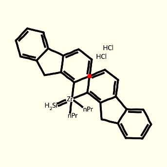 CC[CH2][Zr](=[SiH2])([CH2]CC)([c]1cccc2c1Cc1ccccc1-2)[c]1cccc2c1Cc1ccccc1-2.Cl.Cl